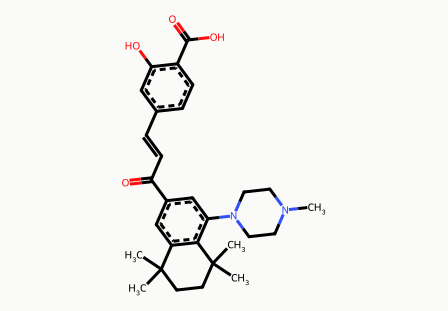 CN1CCN(c2cc(C(=O)/C=C/c3ccc(C(=O)O)c(O)c3)cc3c2C(C)(C)CCC3(C)C)CC1